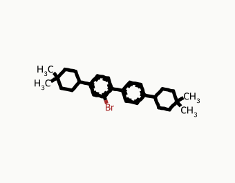 CC1(C)CCC(c2ccc(-c3ccc(C4CCC(C)(C)CC4)cc3Br)cc2)CC1